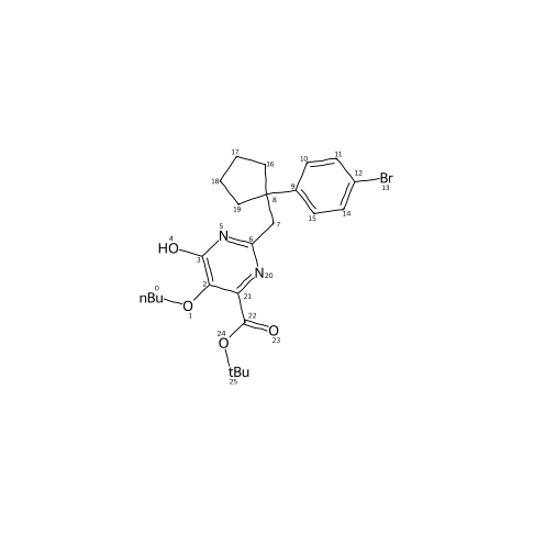 CCCCOc1c(O)nc(CC2(c3ccc(Br)cc3)CCCC2)nc1C(=O)OC(C)(C)C